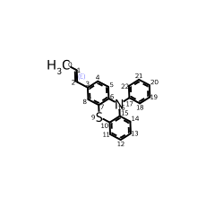 C/C=C/c1ccc2c(c1)Sc1ccccc1N2c1ccccc1